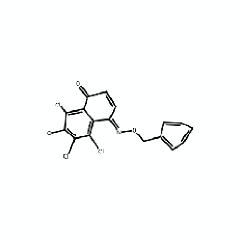 O=C1C=CC(=NOCc2ccccc2)c2c(Cl)c(Cl)c(Cl)c(Cl)c21